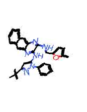 Cc1ccc(CNc2nc3cc4ccccc4cc3nc2Nc2cc(C(C)(C)C)nn2-c2ccccc2)o1